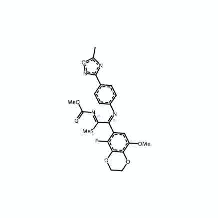 COC(=O)/N=C(SC)/C(=N\c1ccc(-c2noc(C)n2)cc1)c1cc(OC)c2c(c1F)OCCO2